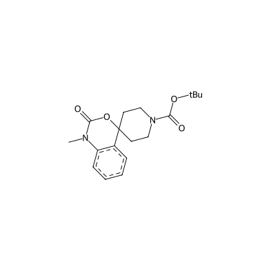 CN1C(=O)OC2(CCN(C(=O)OC(C)(C)C)CC2)c2ccccc21